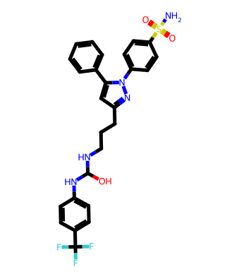 NS(=O)(=O)c1ccc(-n2nc(CCCNC(O)Nc3ccc(C(F)(F)F)cc3)cc2-c2ccccc2)cc1